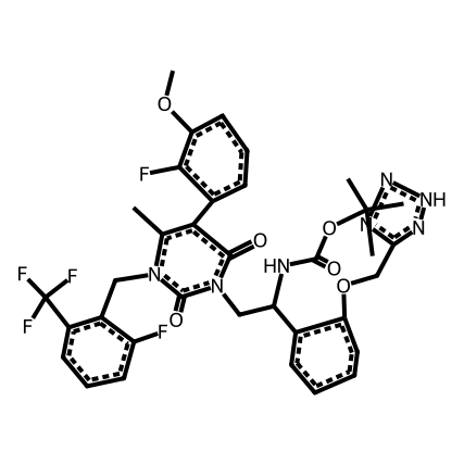 COc1cccc(-c2c(C)n(Cc3c(F)cccc3C(F)(F)F)c(=O)n(CC(NC(=O)OC(C)(C)C)c3ccccc3OCc3nn[nH]n3)c2=O)c1F